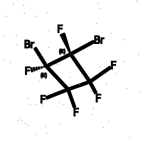 FC1(F)C(F)(F)[C@@](F)(Br)[C@]1(F)Br